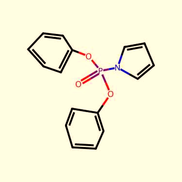 O=P(Oc1ccccc1)(Oc1ccccc1)n1cccc1